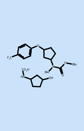 CC(C)(C)OC(=O)N(C1CCC(Oc2ccc(C(F)(F)F)cc2)C1)C(C)(C)C.O=C(O)NC1CCC(O)C1